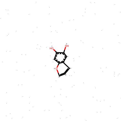 Oc1cc2c(cc1O)OC=C=C2